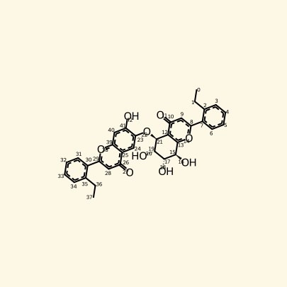 CCc1ccccc1-c1cc(=O)c2c(o1)[C@@H](O)[C@H](O)[C@H](O)[C@H]2Oc1cc2c(=O)cc(-c3ccccc3CC)oc2cc1O